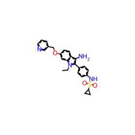 CCn1c(-c2ccc(NS(=O)(=O)C3CC3)cc2)c(N)c2ccc(OCc3cccnc3)cc21